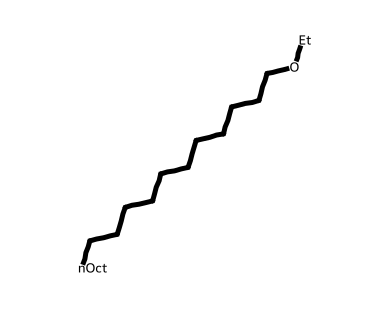 [CH2]COCCCCCCCCCCCCCCCCCCC